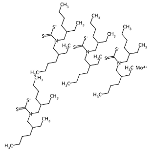 CCCCC(CC)CN(CC(CC)CCCC)C(=S)[S-].CCCCC(CC)CN(CC(CC)CCCC)C(=S)[S-].CCCCC(CC)CN(CC(CC)CCCC)C(=S)[S-].CCCCC(CC)CN(CC(CC)CCCC)C(=S)[S-].[Mo+4]